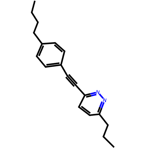 CCCCc1ccc(C#Cc2ccc(CCC)nn2)cc1